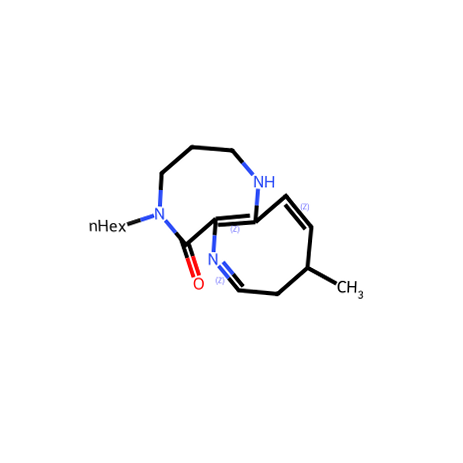 CCCCCCN1CCCNC2=C(\N=C/CC(C)/C=C\2)C1=O